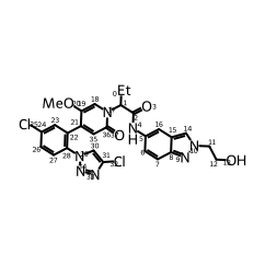 CCC(C(=O)Nc1ccc2nn(CCO)cc2c1)n1cc(OC)c(-c2cc(Cl)ccc2-n2cc(Cl)nn2)cc1=O